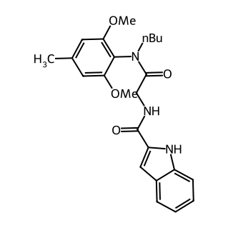 CCCCN(C(=O)CNC(=O)c1cc2ccccc2[nH]1)c1c(OC)cc(C)cc1OC